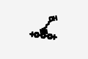 CC(C)(C)c1ccc(-c2ccc(-c3ccc(C(C)(C)C)cc3)c3nn(CCCCCCO)nc23)cc1